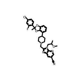 COC(C)Cn1c(CN2CCC(c3cccc4c3OC(C)(c3ccc(Cl)cc3F)O4)CC2)nc2cc(C#N)cnc21